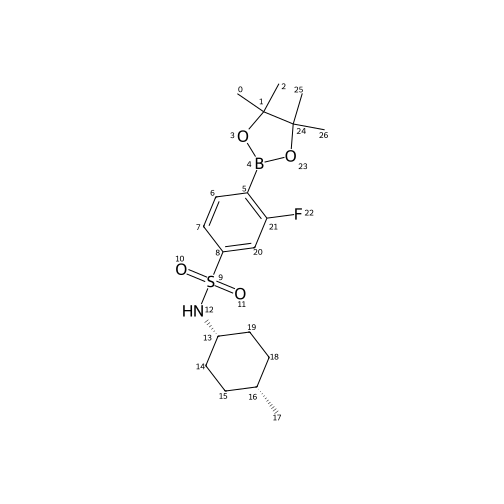 CC1(C)OB(c2ccc(S(=O)(=O)N[C@H]3CC[C@@H](C)CC3)cc2F)OC1(C)C